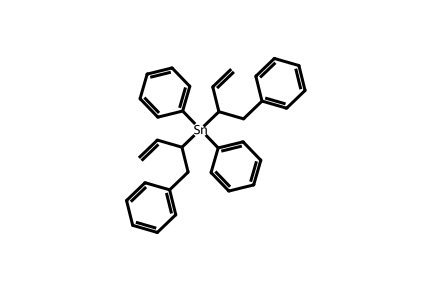 C=C[CH](Cc1ccccc1)[Sn]([c]1ccccc1)([c]1ccccc1)[CH](C=C)Cc1ccccc1